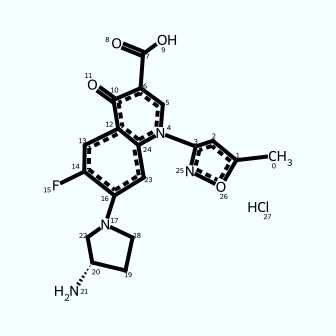 Cc1cc(-n2cc(C(=O)O)c(=O)c3cc(F)c(N4CC[C@H](N)C4)cc32)no1.Cl